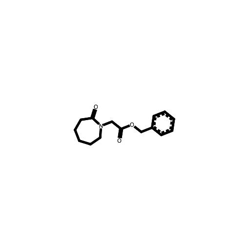 O=C(CN1CCCCCC1=O)OCc1ccccc1